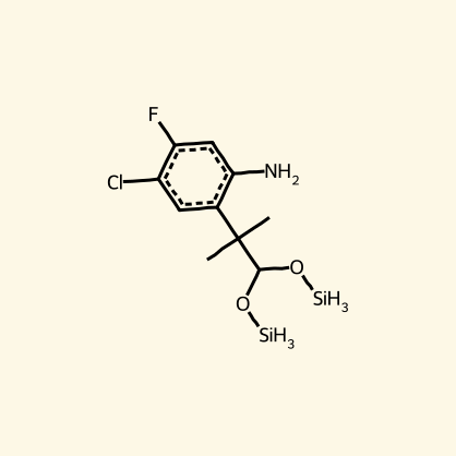 CC(C)(c1cc(Cl)c(F)cc1N)C(O[SiH3])O[SiH3]